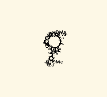 C=CC[C@@H]1C=C(C)C[C@H](C)C[C@H](OC)C2O[C@@](O)(C(=O)C(=O)N3CCCC[C@H]3C(=O)O[C@H]([C@@H](C)[C@H](O[Si](C)(C)C)/C(C)=C/[C@@H]3CC[C@@H](O[Si](C)(C)C(C)(C)C)[C@H](OC)C3)CC1O)[C@H](C)C[C@@H]2OC